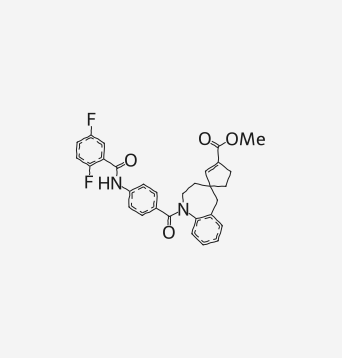 COC(=O)C1=CC2(CC1)CCN(C(=O)c1ccc(NC(=O)c3cc(F)ccc3F)cc1)c1ccccc1C2